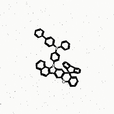 c1ccc(-c2ccc(N(c3ccccc3)c3ccc(-n4c5cc6c(cc5c5ccc7ccccc7c54)Oc4ccccc4C64c5ccccc5-c5ccccc54)cc3)cc2)cc1